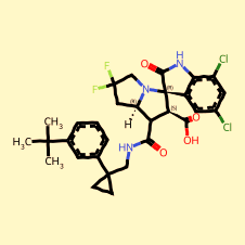 CC(C)(C)c1cccc(C2(CNC(=O)C3[C@H]4CC(F)(F)CN4[C@]4(C(=O)Nc5c(Cl)cc(Cl)cc54)[C@H]3C(=O)O)CC2)c1